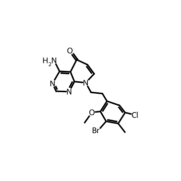 COc1c(CCn2ccc(=O)c3c(N)ncnc32)cc(Cl)c(C)c1Br